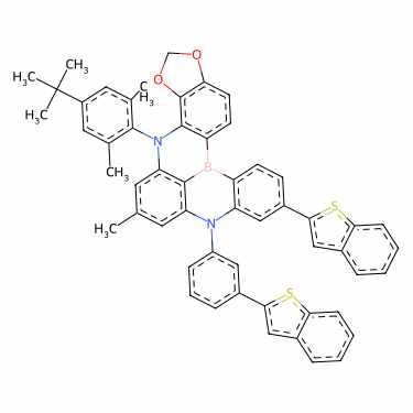 Cc1cc2c3c(c1)N(c1c(C)cc(C(C)(C)C)cc1C)c1c(ccc4c1OCO4)B3c1ccc(-c3cc4ccccc4s3)cc1N2c1cccc(-c2cc3ccccc3s2)c1